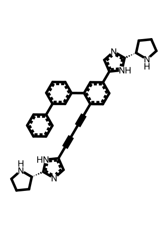 C(C#Cc1ccc(-c2cnc([C@@H]3CCCN3)[nH]2)cc1-c1cccc(-c2ccccc2)c1)#Cc1cnc([C@@H]2CCCN2)[nH]1